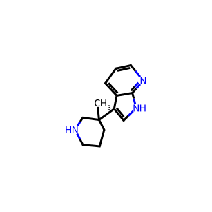 CC1(c2c[nH]c3ncccc23)CCCNC1